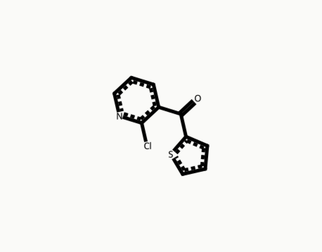 O=C(c1cccs1)c1cccnc1Cl